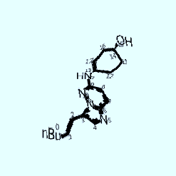 CCCC/C=C/c1cnc2ccc(N[C@H]3CC[C@H](O)CC3)nn12